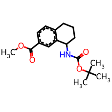 COC(=O)c1ccc2c(c1)C(NC(=O)OC(C)(C)C)CCC2